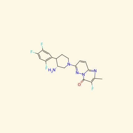 Cc1nc2ccc(N3CCC(c4cc(F)c(F)cc4F)[C@@H](N)C3)nn2c(=O)c1F